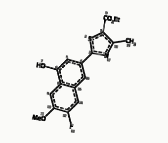 CCOC(=O)c1sc(-c2cc(O)c3cc(OC)c(F)cc3c2)nc1C